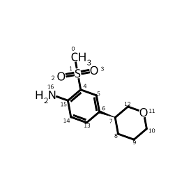 CS(=O)(=O)c1cc([C@@H]2CCCOC2)ccc1N